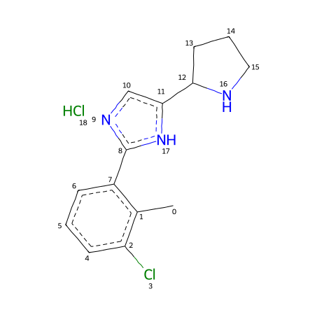 Cc1c(Cl)cccc1-c1ncc(C2CCCN2)[nH]1.Cl